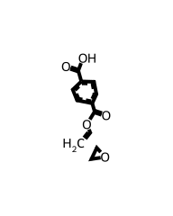 C1CO1.C=COC(=O)c1ccc(C(=O)O)cc1